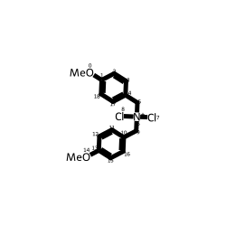 COc1ccc(C[N+](Cl)(Cl)Cc2ccc(OC)cc2)cc1